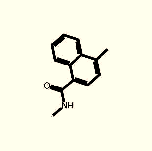 CNC(=O)c1ccc(C)c2ccccc12